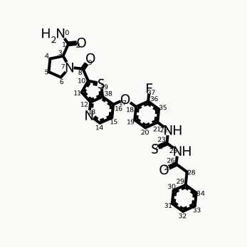 NC(=O)C1CCCN1C(=O)c1cc2nccc(Oc3ccc(NC(=S)NC(=O)Cc4ccccc4)cc3F)c2s1